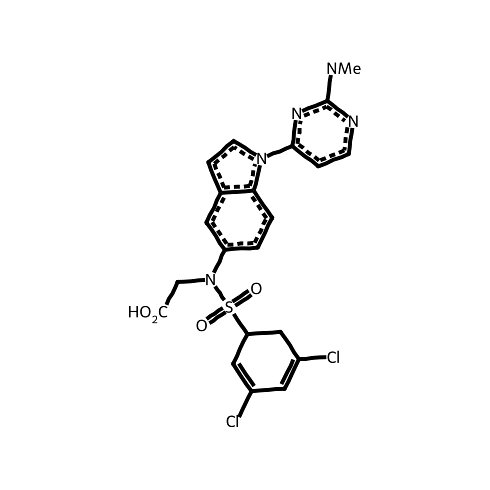 CNc1nccc(-n2ccc3cc(N(CC(=O)O)S(=O)(=O)C4C=C(Cl)C=C(Cl)C4)ccc32)n1